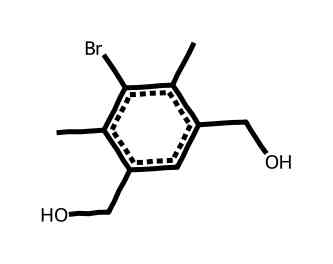 Cc1c(CO)cc(CO)c(C)c1Br